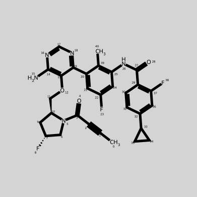 CC#CC(=O)N1C[C@H](F)C[C@H]1COc1c(N)ncnc1-c1cc(F)cc(NC(=O)c2ccc(C3CC3)cc2F)c1C